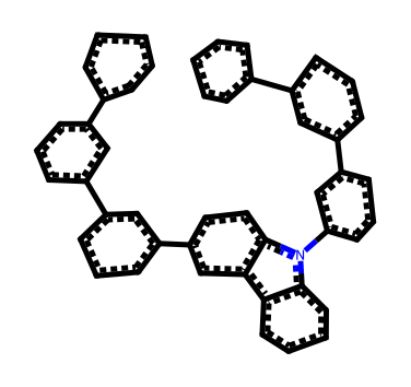 c1ccc(-c2cccc(-c3cccc(-c4ccc5c(c4)c4ccccc4n5-c4cccc(-c5cccc(-c6ccccc6)c5)c4)c3)c2)cc1